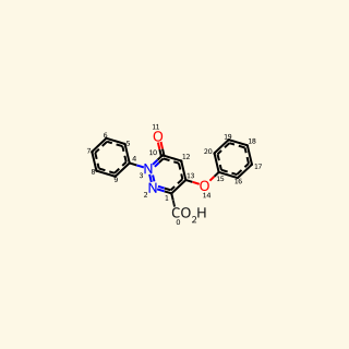 O=C(O)c1nn(-c2ccccc2)c(=O)cc1Oc1ccccc1